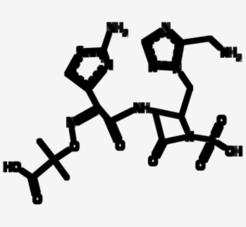 CC(C)(O/N=C(\C(=O)NC1C(=O)N(S(=O)(=O)O)C1Cn1ncnc1CN)c1csc(N)n1)C(=O)O